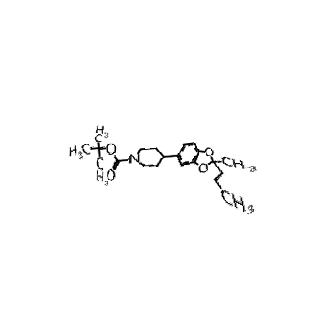 CCCC1(C)Oc2ccc(C3CCN(C(=O)OC(C)(C)C)CC3)cc2O1